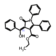 CCOC(=O)C1=C(c2ccccc2)N(c2ccccc2)C(=O)/C1=C(/O)c1ccccc1